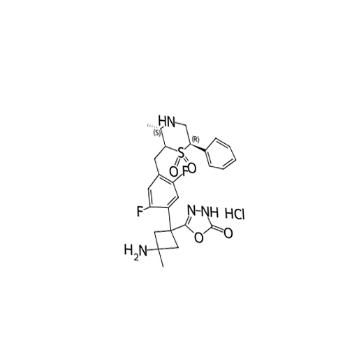 C[C@@H]1NC[C@@H](c2ccccc2)S(=O)(=O)C1Cc1cc(F)c(C2(c3n[nH]c(=O)o3)CC(C)(N)C2)cc1F.Cl